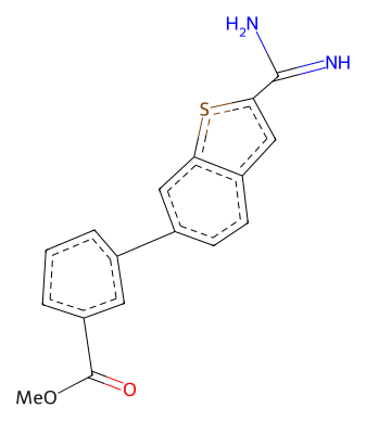 COC(=O)c1cccc(-c2ccc3cc(C(=N)N)sc3c2)c1